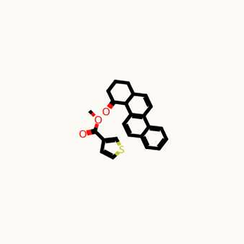 COC(=O)c1ccsc1.O=C1CCCC2C=Cc3c(ccc4ccccc34)C12